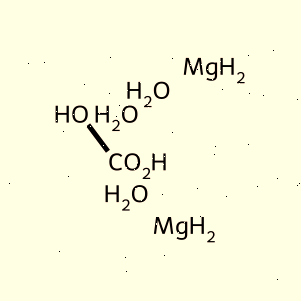 O.O.O.O=C(O)O.[MgH2].[MgH2]